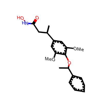 COc1cc(C(C)CC(=O)NO)cc(OC)c1OC(C)c1ccccc1